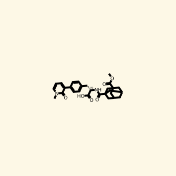 COC(=O)C12CC3CC(CC(C(=O)N[C@@H](Cc4ccc(-c5cccn(C)c5=O)cc4)C(=O)O)(C3)C1)C2